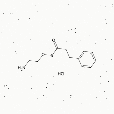 Cl.NCCOSC(=O)CCc1ccccc1